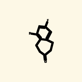 O=C1CCc2cc(F)cc(F)c2CC1